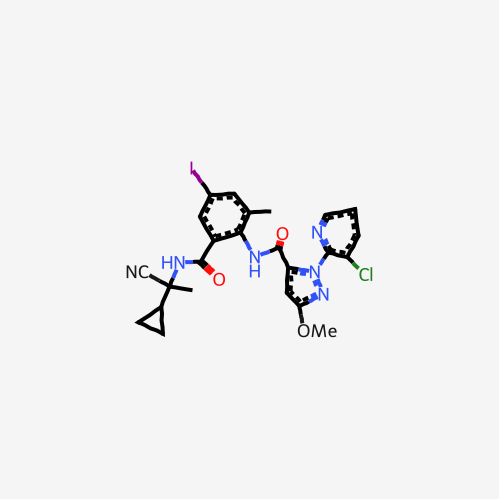 COc1cc(C(=O)Nc2c(C)cc(I)cc2C(=O)NC(C)(C#N)C2CC2)n(-c2ncccc2Cl)n1